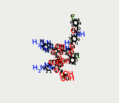 Nc1ccn([C@@H]2O[C@H](COP(=O)(O)O)[C@@H](OP(=O)(O)OC[C@H]3O[C@@H](n4cnc5c(N)ncnc54)[C@H](O)[C@@H]3OC(=O)[C@H](COc3ccccc3Cl)NC(=O)OCc3ccc(NC(=O)Cc4ccc(F)cc4)cc3)[C@H]2O)c(=O)n1